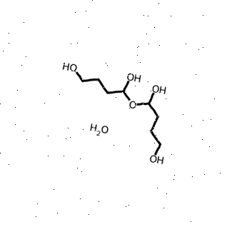 O.OCCCC(O)OC(O)CCCO